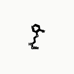 CONCCOc1cnccc1Br